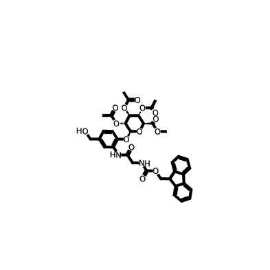 COC(=O)[C@H]1O[C@@H](Oc2ccc(CO)cc2NC(=O)CNC(=O)OCC2c3ccccc3-c3ccccc32)[C@H](OC(C)=O)[C@@H](OC(C)=O)[C@@H]1OC(C)=O